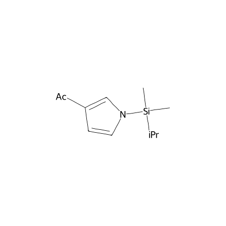 CC(=O)c1ccn([Si](C)(C)C(C)C)c1